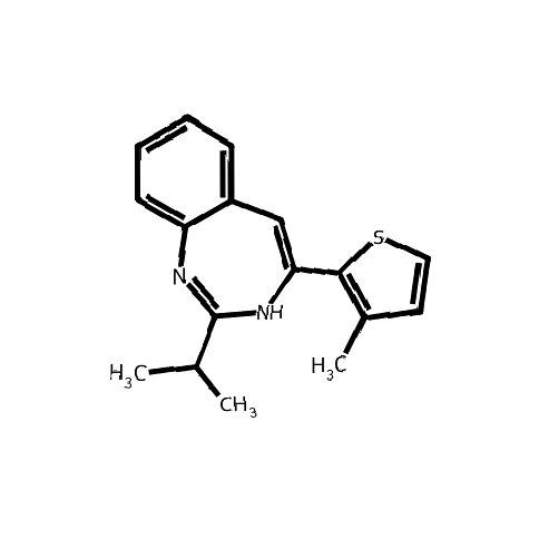 Cc1ccsc1C1=Cc2ccccc2N=C(C(C)C)N1